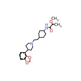 CO[C@@H](C)C(=O)NC1CCC(CCN2CCC(c3cccc4c3OCO4)CC2)CC1